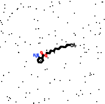 CCCCCCCCCCOC(=O)c1ccccc1N